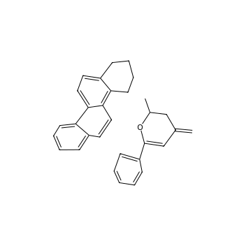 C=C1C=C(c2ccccc2)OC(C)C1.c1ccc2c(c1)ccc1c3c(ccc12)CCCC3